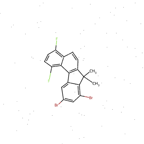 CC1(C)c2c[c]c3c(F)ccc(F)c3c2-c2cc(Br)cc(Br)c21